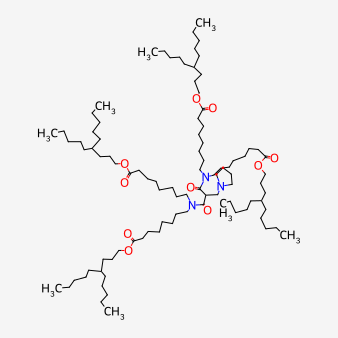 CCCCCC(CCCCC)CCCOC(=O)CCCCCCCN(CCCCCCCC(=O)OCCCC(CCCCC)CCCCC)C(=O)C(CN1CCCC1)C(=O)N(CCCCCCCC(=O)OCCCC(CCCCC)CCCCC)CCCCCCCC(=O)OCCCC(CCCCC)CCCCC